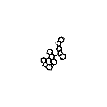 c1ccc2c(c1)oc1cc3c(cc12)c1ccccc1n3-c1c2ccccc2c(-c2cccc3oc4ccccc4c23)c2ccccc12